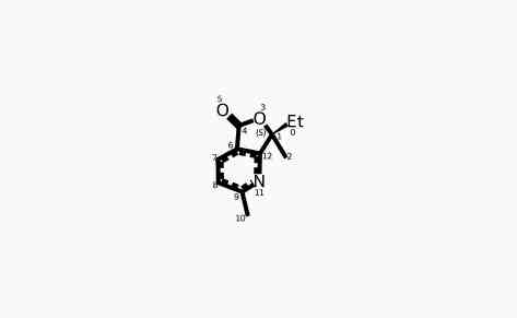 CC[C@]1(C)OC(=O)c2ccc(C)nc21